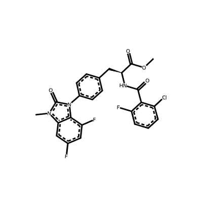 COC(=O)[C@H](Cc1ccc(-n2c(=O)n(C)c3cc(F)cc(F)c32)cc1)NC(=O)c1c(F)cccc1Cl